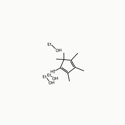 CC1=C(C)C(C)(C)[C]([Hf])=C1C.CCO.CCO.CCO